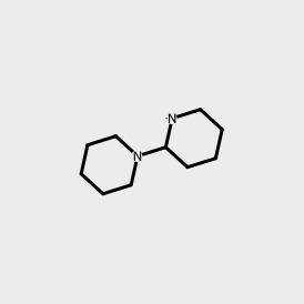 C1CCN(C2CCCC[N]2)CC1